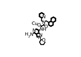 Nc1ncc(NC(=O)C(=O)N(Cc2ccccn2)Cc2cccc3ccccc23)c2nn(C3CCCCO3)cc12.[Cu]